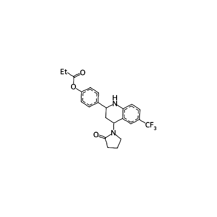 CCC(=O)Oc1ccc(C2CC(N3CCCC3=O)c3cc(C(F)(F)F)ccc3N2)cc1